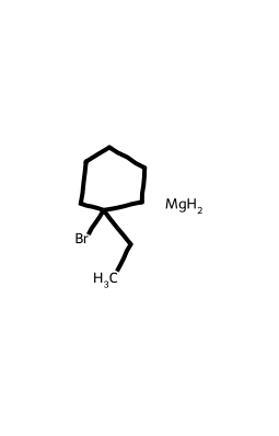 CCC1(Br)CCCCC1.[MgH2]